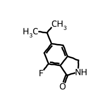 CC(C)c1cc(F)c2c(c1)CNC2=O